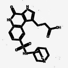 O=C(O)CCc1c[nH]c2c(=O)[nH]c3ccc(S(=O)(=O)NC4CN5CCC4CC5)cc3c12